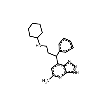 Nc1cc(C(CCN[C]2CCCCC2)c2ccccc2)c2nn[nH]c2n1